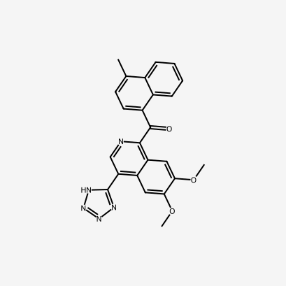 COc1cc2c(-c3nnn[nH]3)cnc(C(=O)c3ccc(C)c4ccccc34)c2cc1OC